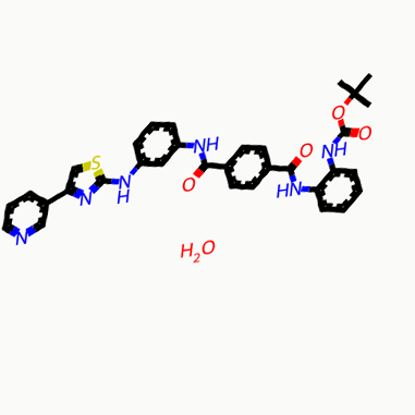 CC(C)(C)OC(=O)Nc1ccccc1NC(=O)c1ccc(C(=O)Nc2cccc(Nc3nc(-c4cccnc4)cs3)c2)cc1.O